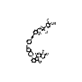 Cc1c(-c2ccc(C#N)c(Cl)c2)nn(Cc2ccc(C#C[C@H]3CC[C@H](CN4CCC5(CC4)CCN(c4cccc6c4C(=O)N(C4CCC(=O)NC4=O)C6=O)CC5)CC3)cc2)c1C